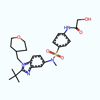 CN(c1ccc2c(c1)nc(C(C)(C)C)n2CC1CCOCC1)S(=O)(=O)c1ccc(NC(=O)CO)cc1